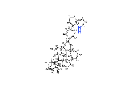 C1=CNC2C(=C1)C=CC=C2c1ccc(-c2ccc(C3(c4ccccc4)c4ccccc4C4(c5ccccc5)c5ccccc5-c5cccc3c54)cc2)cc1